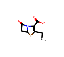 CCC1=C(C(=O)O)N2C(=O)CC2S1